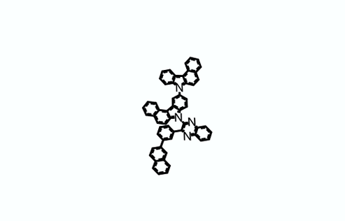 c1cc(-c2ccc3ccccc3c2)cc(-c2nc3ccccc3nc2-n2c3ccc(-n4c5ccccc5c5c6ccccc6ccc54)cc3c3c4ccccc4ccc32)c1